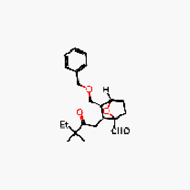 CCC(C)(C)C(=O)C[C@H]1[C@@H](COCc2ccccc2)[C@@H]2CC[C@@]1(C=O)O2